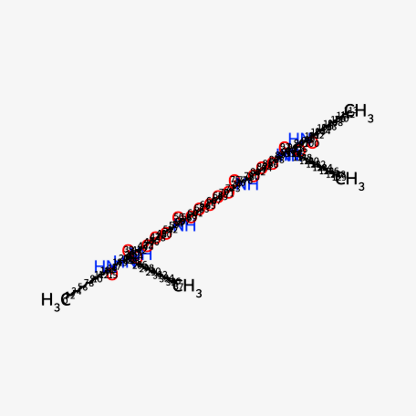 CCCCCCCCCCCCCCC(=O)NCCCC[C@@H](NC(=O)CCCCCCCCCCCCC)C(=O)NCCCOCCOCCOCCCNC(=O)CCOCCOCCOCCOCCOCCC(=O)NCCCOCCOCCOCCCNC(=O)[C@@H](CCCCNC(=O)CCCCCCCCCCCCC)NC(=O)CCCCCCCCCCCCC